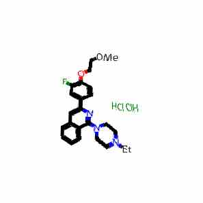 CCN1CCN(c2nc(-c3ccc(OCCOC)c(F)c3)cc3ccccc23)CC1.Cl.Cl